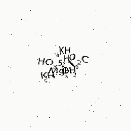 CC(=O)O.O=S(=O)(O)O.[KH].[KH].[MgH2]